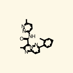 Cc1ccc(NC(=O)c2c(C)nc3ccc(-c4ccccc4C)nn23)nn1